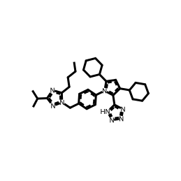 CCCCc1nc(C(C)C)nn1Cc1ccc(-n2c(C3CCCCC3)cc(C3CCCCC3)c2-c2nnn[nH]2)cc1